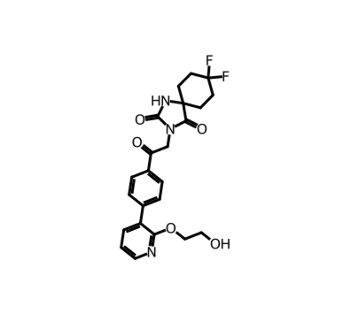 O=C(CN1C(=O)NC2(CCC(F)(F)CC2)C1=O)c1ccc(-c2cccnc2OCCO)cc1